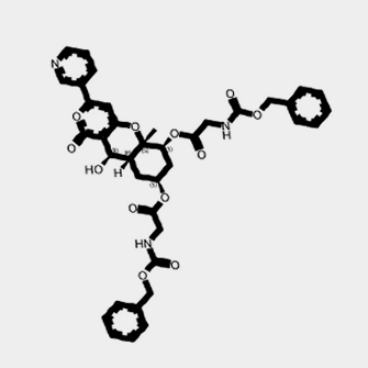 C[C@]12Oc3cc(-c4cccnc4)oc(=O)c3[C@H](O)[C@H]1C[C@H](OC(=O)CNC(=O)OCc1ccccc1)C[C@@H]2OC(=O)CNC(=O)OCc1ccccc1